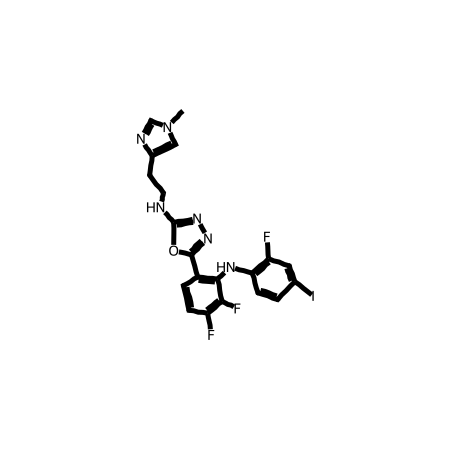 Cn1cnc(CCNc2nnc(-c3ccc(F)c(F)c3Nc3ccc(I)cc3F)o2)c1